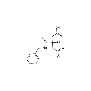 O=C(O)CC(O)(CC(=O)O)C(=O)NCc1ccccc1